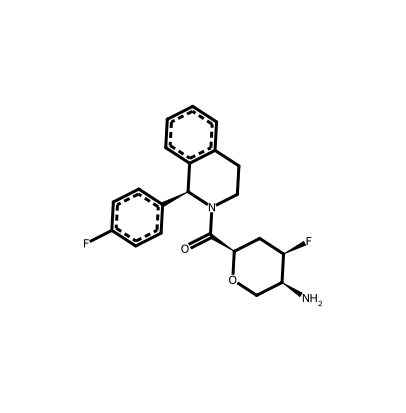 N[C@H]1CO[C@@H](C(=O)N2CCc3ccccc3[C@@H]2c2ccc(F)cc2)C[C@H]1F